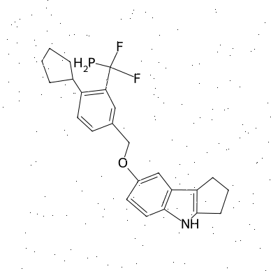 FC(F)(P)c1cc(COc2ccc3[nH]c4c(c3c2)CCC4)ccc1C1CCCC1